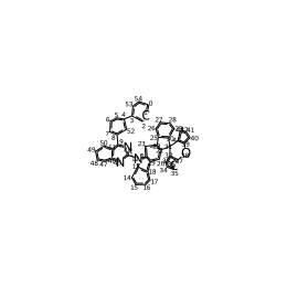 c1ccc(-c2cccc(-c3nc(-n4c5ccccc5c5cc6c(cc54)-c4ccccc4C64c5ccccc5Oc5ccccc54)nc4ccccc34)c2)cc1